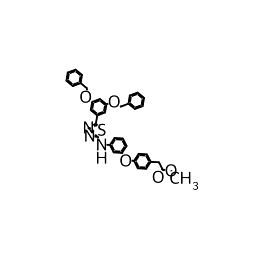 COC(=O)Cc1ccc(Oc2cccc(Nc3nnc(-c4cc(OCc5ccccc5)cc(OCc5ccccc5)c4)s3)c2)cc1